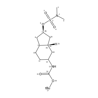 CN(C)S(=O)(=O)O[C@@H]1CC2CCC(NC(=O)OC(C)(C)C)C[C@H]2C1